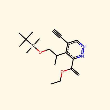 C#Cc1cnnc(C(=C)OCC)c1C(C)CO[Si](C)(C)C(C)(C)C